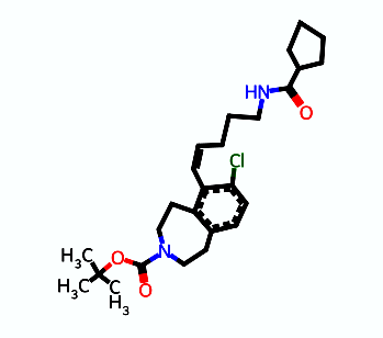 CC(C)(C)OC(=O)N1CCc2ccc(Cl)c(/C=C\CCCNC(=O)C3CCCC3)c2CC1